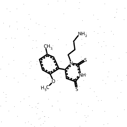 COc1ccc(C)cc1-c1cc(=S)[nH]c(=S)n1CCCN